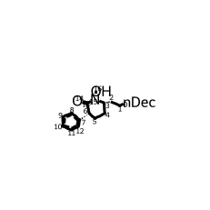 CCCCCCCCCCCC[C@@H]1CC[C@H](c2ccccc2)C(=O)N1O